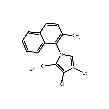 CC[n+]1cn(-c2c(C)ccc3ccccc23)c(Cl)c1Cl.[Br-]